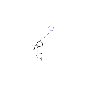 Cn1c(=O)n(C2CCC(=O)NC2=O)c2ccc(CCCCN3CCN[C@H](C(=O)O)C3)cc21